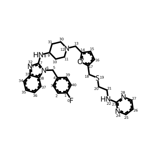 Fc1ccc(Cn2c(NC3CCN(Cc4ccc(CSCCNc5ncccn5)o4)CC3)nc3ccccc32)cc1